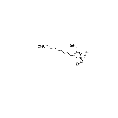 CCO[Si](CCCCCCCCCCC=O)(OCC)OCC.[SiH4]